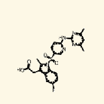 Cc1cc(C)nc(Nc2ccc(S(=O)(=O)n3c(C)c(CC(=O)O)c4cc(F)ccc43)cn2)n1